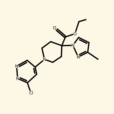 CCOC(=O)C1(n2ccc(C)n2)CCN(c2cnnc(Cl)c2)CC1